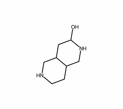 OC1CC2CNCCC2CN1